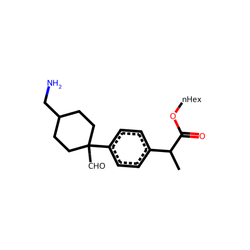 CCCCCCOC(=O)C(C)c1ccc(C2(C=O)CCC(CN)CC2)cc1